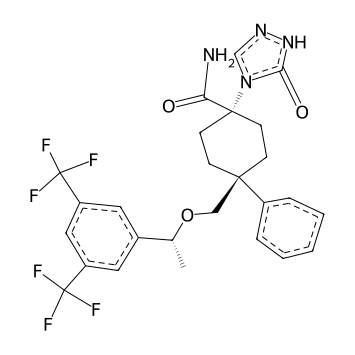 C[C@@H](OC[C@]1(c2ccccc2)CC[C@@](C(N)=O)(n2cn[nH]c2=O)CC1)c1cc(C(F)(F)F)cc(C(F)(F)F)c1